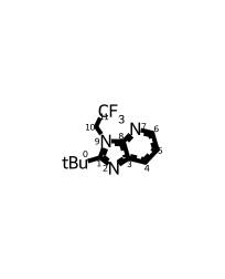 CC(C)(C)c1nc2cccnc2n1CC(F)(F)F